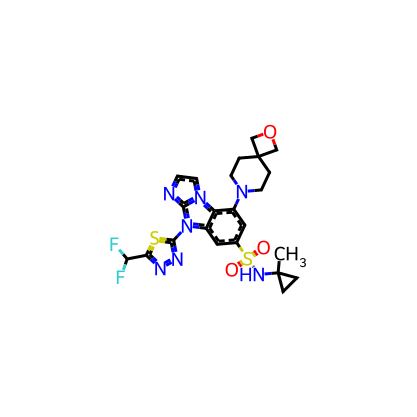 CC1(NS(=O)(=O)c2cc(N3CCC4(CC3)COC4)c3c(c2)n(-c2nnc(C(F)F)s2)c2nccn32)CC1